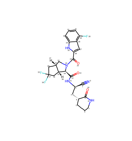 N#C[C@@H](C[C@H]1CCCNC1=O)NC(=O)[C@H]1[C@@H]2CC(F)(F)C[C@@H]2CN1C(=O)c1cc2c(F)cccc2[nH]1